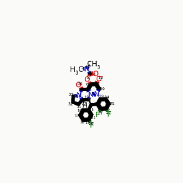 CN(C)C(=O)Oc1c2n(ncc1=O)[C@@H](C(c1cccc(F)c1)c1cccc(F)c1F)[C@H]1CCCN1C2=O